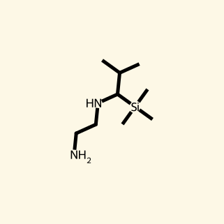 CC(C)C(NCCN)[Si](C)(C)C